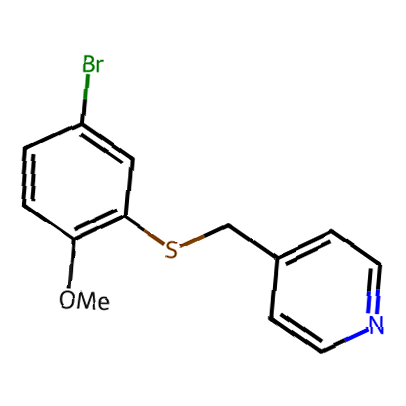 COc1ccc(Br)cc1SCc1ccncc1